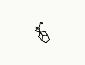 CC(C)N1CC2CCC(C1)C2N1CC1C#N